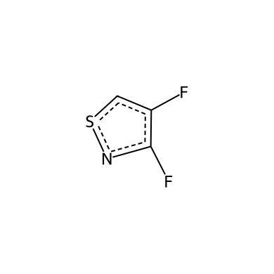 Fc1csnc1F